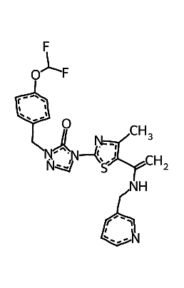 C=C(NCc1cccnc1)c1sc(-n2cnn(Cc3ccc(OC(F)F)cc3)c2=O)nc1C